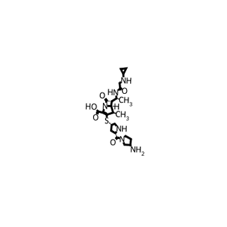 C[C@@H](NC(=O)CNC1CC1)[C@H]1C(=O)N2C(C(=O)O)=C(S[C@@H]3CN[C@H](C(=O)N4CCC(N)C4)C3)[C@H](C)[C@H]12